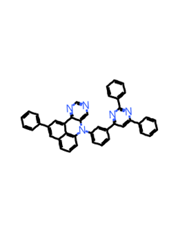 c1ccc(-c2cc3c4c(cccc4c2)N(c2cccc(-c4cc(-c5ccccc5)nc(-c5ccccc5)n4)c2)c2cncnc2-3)cc1